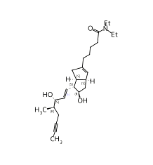 CC#CC[C@@H](C)[C@H](O)/C=C/[C@@H]1[C@H]2CC(CCCCC(=O)N(CC)CC)=C[C@H]2C[C@H]1O